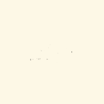 Cc1cc(C2CC2)c(C(C)C)c2sc(N)nc12